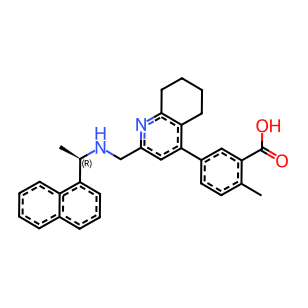 Cc1ccc(-c2cc(CN[C@H](C)c3cccc4ccccc34)nc3c2CCCC3)cc1C(=O)O